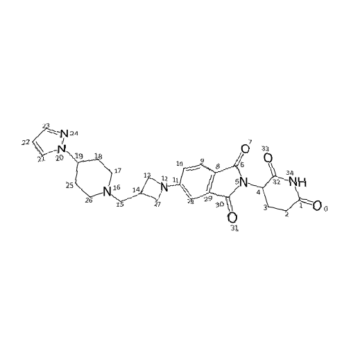 O=C1CCC(N2C(=O)c3ccc(N4CC(CN5CCC(n6cccn6)CC5)C4)cc3C2=O)C(=O)N1